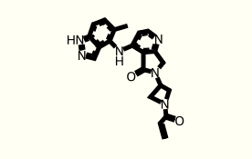 C=CC(=O)N1CC(N2Cc3nccc(Nc4c(C)ccc5[nH]ncc45)c3C2=O)C1